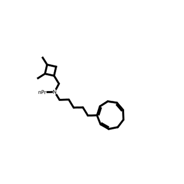 CCCN(CCCCCC1=C/CC=CCC/C=C\1)CC1CC(C)C1C